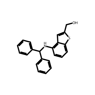 OCc1cc2c(NC(c3ccccc3)c3ccccc3)cccc2s1